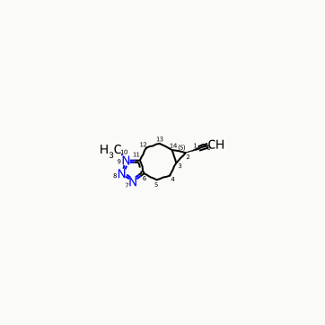 C#C[C@H]1C2CCc3nnn(C)c3CCC21